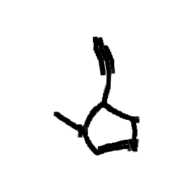 CN1C=N[C]C1C#N